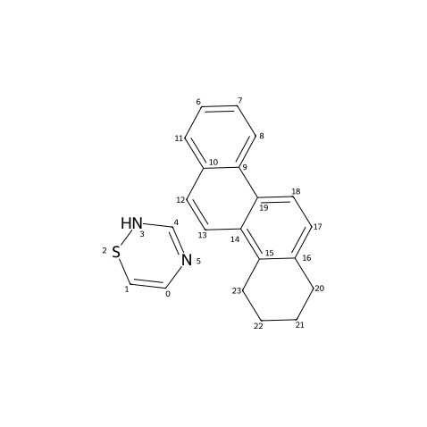 C1=CSNC=N1.c1ccc2c(c1)ccc1c3c(ccc12)CCCC3